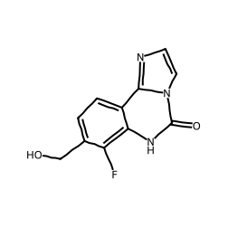 O=c1[nH]c2c(F)c(CO)ccc2c2nccn12